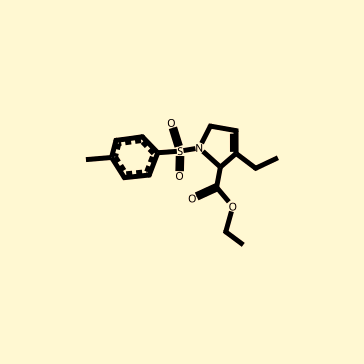 CCOC(=O)C1C(CC)=CCN1S(=O)(=O)c1ccc(C)cc1